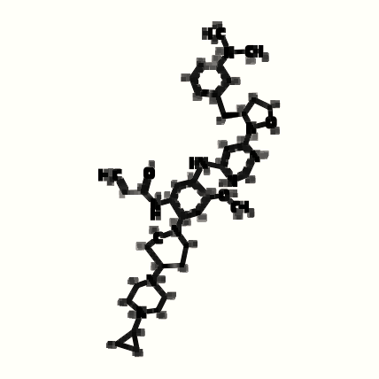 C=CC(=O)Nc1cc(Nc2cc(N3OCC[C@@H]3Cc3cccc(N(C)C)c3)ncn2)c(OC)cc1N1CCC(N2CCN(C3CC3)CC2)CC1